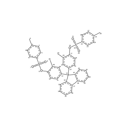 Cc1ccc(S(=O)(=O)Oc2ccc(C3(c4ccc(OS(=O)(=O)c5ccc(C)cc5)c(C)c4)c4ccccc4-c4ccccc43)cc2C)cc1